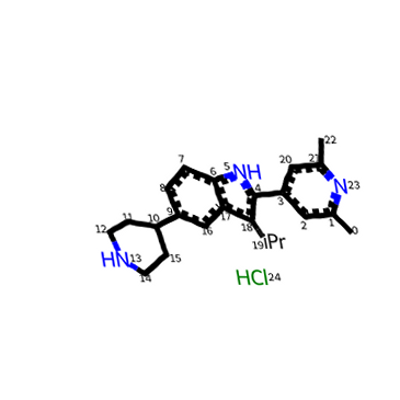 Cc1cc(-c2[nH]c3ccc(C4CCNCC4)cc3c2C(C)C)cc(C)n1.Cl